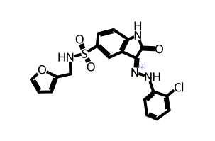 O=C1Nc2ccc(S(=O)(=O)NCc3ccco3)cc2/C1=N/Nc1ccccc1Cl